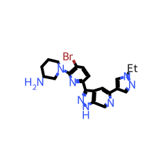 CCn1cc(-c2cc3c(-c4ccc(Br)c(N5CCC[C@@H](N)C5)n4)n[nH]c3cn2)cn1